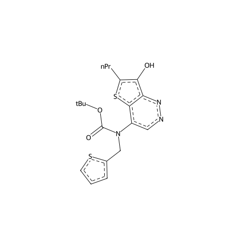 CCCc1sc2c(N(Cc3cccs3)C(=O)OC(C)(C)C)cnnc2c1O